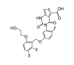 O=C(O)c1scc2[nH]c(=O)n(-c3cc(OCc4c(OCCO)ccc(F)c4F)ccc3F)c(=O)c12